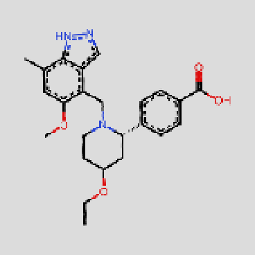 CCO[C@H]1CCN(Cc2c(OC)cc(C)c3[nH]ncc23)[C@H](c2ccc(C(=O)O)cc2)C1